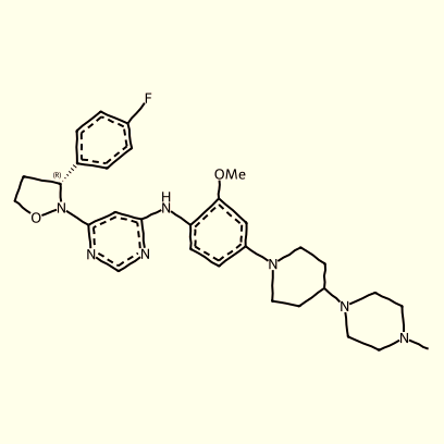 COc1cc(N2CCC(N3CCN(C)CC3)CC2)ccc1Nc1cc(N2OCC[C@@H]2c2ccc(F)cc2)ncn1